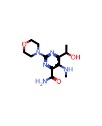 CNc1c(C(N)=O)nc(N2CCOCC2)nc1C(C)O